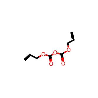 C=CCOC(=O)OC(=O)OCC=C